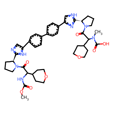 COC(=O)NC(C(=O)N1CCC[C@H]1c1ncc(-c2ccc(-c3ccc(-c4c[nH]c([C@@H]5CCCN5C(=O)C(C5CCOCC5)N(C)C(=O)O)n4)cc3)cc2)[nH]1)C1CCOCC1